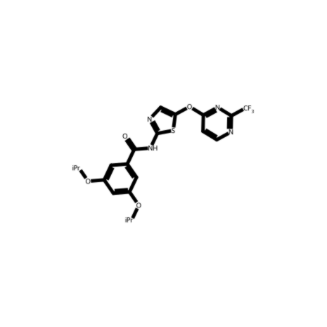 CC(C)Oc1cc(OC(C)C)cc(C(=O)Nc2ncc(Oc3ccnc(C(F)(F)F)n3)s2)c1